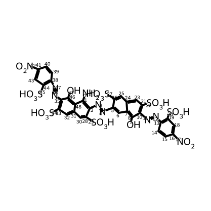 Nc1c(N=Nc2cc3c(O)c(N=Nc4ccc([N+](=O)[O-])cc4S(=O)(=O)O)c(S(=O)(=O)O)cc3cc2S(=O)(=O)O)c(S(=O)(=O)O)cc2cc(S(=O)(=O)O)c(N=Nc3ccc([N+](=O)[O-])cc3S(=O)(=O)O)c(O)c12